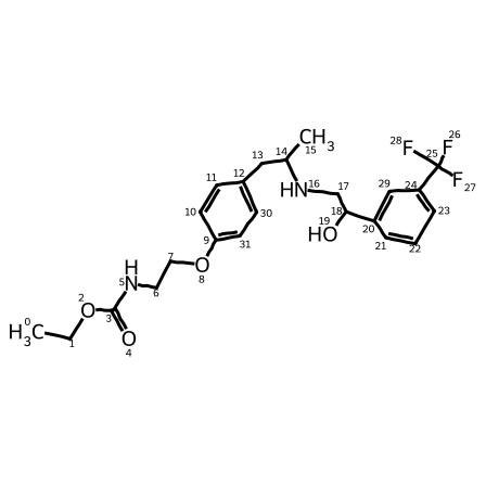 CCOC(=O)NCCOc1ccc(CC(C)NCC(O)c2cccc(C(F)(F)F)c2)cc1